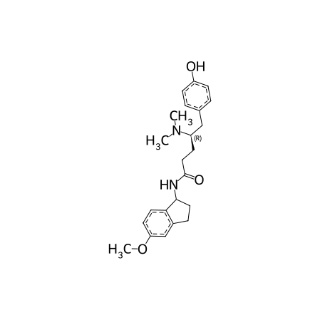 COc1ccc2c(c1)CCC2NC(=O)CC[C@H](Cc1ccc(O)cc1)N(C)C